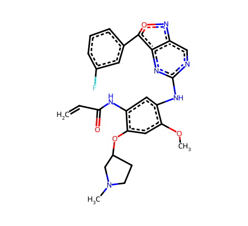 C=CC(=O)Nc1cc(Nc2ncc3noc(-c4cccc(F)c4)c3n2)c(OC)cc1OC1CCN(C)C1